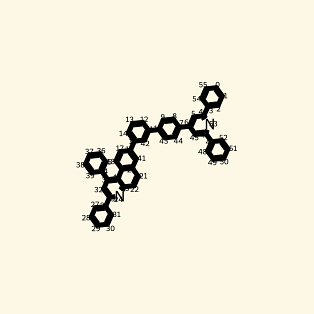 c1ccc(-c2cc(-c3ccc(-c4cccc(-c5ccc6c(ccc7nc(-c8ccccc8)cc(-c8ccccc8)c76)c5)c4)cc3)cc(-c3ccccc3)n2)cc1